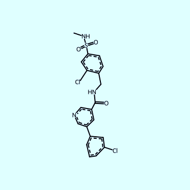 CNS(=O)(=O)c1ccc(CNC(=O)c2cncc(-c3cccc(Cl)c3)c2)c(Cl)c1